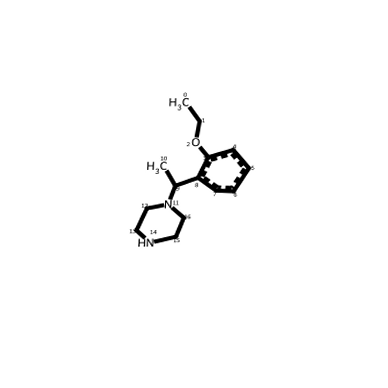 CCOc1ccccc1C(C)N1CCNCC1